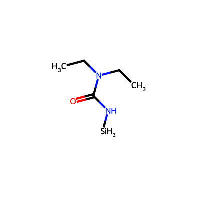 CCN(CC)C(=O)N[SiH3]